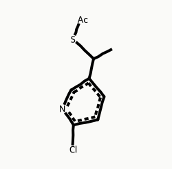 CC(=O)SC(C)c1ccc(Cl)nc1